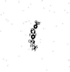 O=C1O[C@@H](CNC(=S)C(F)F)CN1c1cc(F)c(N2CCON(c3ccc([N+](=O)[O-])cc3)CC2)c(F)c1